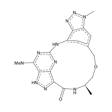 CNc1nc2nc3c(n[nH]c13)C(=O)N[C@H](C)COCc1cc(c3nnn(C)c3c1)N2